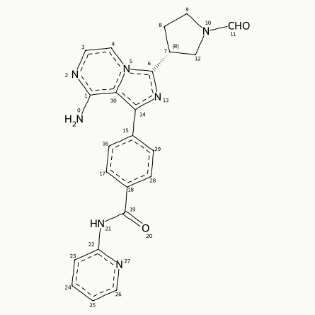 Nc1nccn2c([C@@H]3CCN(C=O)C3)nc(-c3ccc(C(=O)Nc4ccccn4)cc3)c12